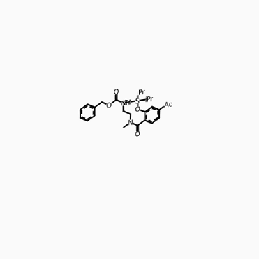 CC(=O)c1ccc(C(=O)N(C)CCNC(=O)OCc2ccccc2)c(O[Si](C(C)C)(C(C)C)C(C)C)c1